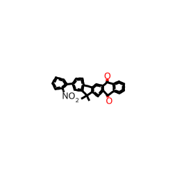 CC1(C)c2cc(-c3ccccc3[N+](=O)[O-])ccc2-c2cc3c(cc21)C(=O)c1ccccc1C3=O